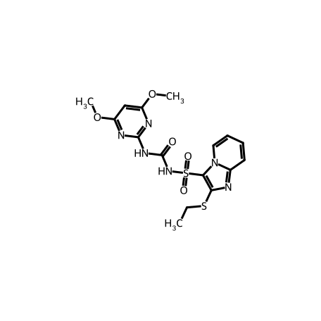 CCSc1nc2ccccn2c1S(=O)(=O)NC(=O)Nc1nc(OC)cc(OC)n1